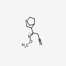 CO/N=C(\CC#N)C1CN2CCC1C2